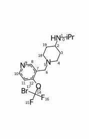 CC(C)NC1CCN(Cc2cnccc2OC(F)(F)Br)CC1